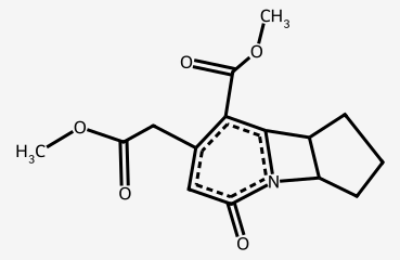 COC(=O)Cc1cc(=O)n2c(c1C(=O)OC)C1CCCC12